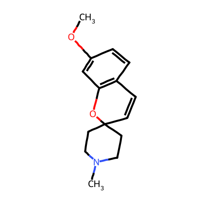 COc1ccc2c(c1)OC1(C=C2)CCN(C)CC1